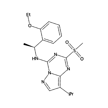 CCOc1ccccc1[C@H](C)Nc1nc(S(C)(=O)=O)nc2c(C(C)C)cnn12